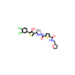 C/C(=N\NC(=O)c1ccc(C(=O)NCC2CCCO2)s1)c1csc(-c2ccc(Cl)c(Cl)c2)c1O